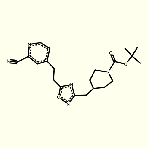 CC(C)(C)OC(=O)N1CCC(Cc2noc(CCc3ccnc(C#N)c3)n2)CC1